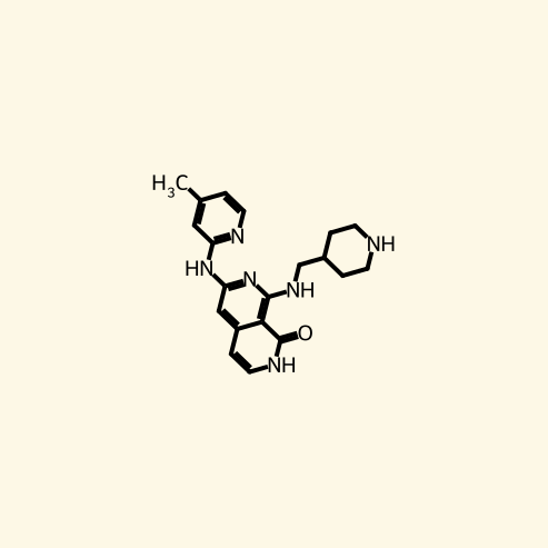 Cc1ccnc(Nc2cc3cc[nH]c(=O)c3c(NCC3CCNCC3)n2)c1